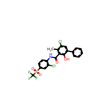 Cc1c(Cl)cc(-c2ccccc2)c(O)c1C(=O)Nc1ccc(S(=O)(=O)C(F)(F)F)cc1Cl